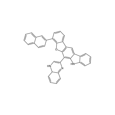 C1=CC2=NC(c3c4[nH]c5ccccc5c4cc4c3oc3c(-c5ccc6ccccc6c5)cccc34)=CNC2C=C1